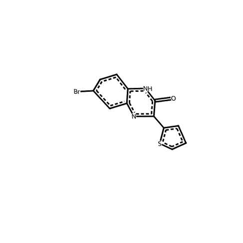 O=c1[nH]c2ccc(Br)cc2nc1-c1cccs1